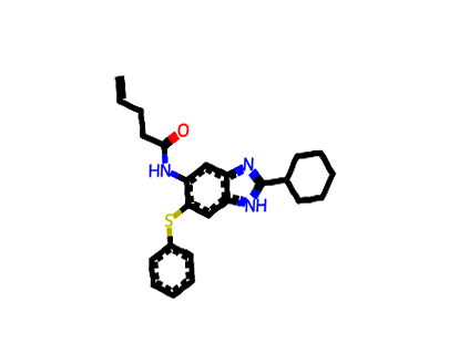 C=CCCC(=O)Nc1cc2nc(C3CCCCC3)[nH]c2cc1Sc1ccccc1